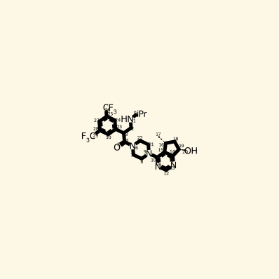 CC(C)NCC(C(=O)N1CCN(c2ncnc3c2[C@H](C)C[C@@H]3O)CC1)c1cc(C(F)(F)F)cc(C(F)(F)F)c1